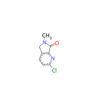 CN1Cc2ccc(Cl)nc2C1=O